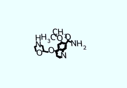 CC(C)Oc1cc2c(OCC3CNCCO3)ccnc2cc1C(N)=O